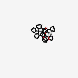 C1=CCC2C(=C1)N(c1ccccc1)c1c2cc(-c2ccccc2C2(c3ccccc3)c3ccccc3C3(c4ccccc4)c4ccccc4-c4cccc2c43)c2ccccc12